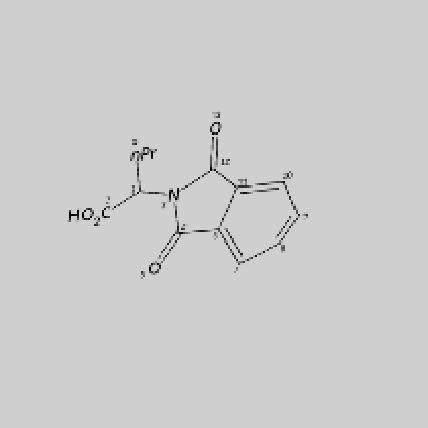 CCCC(C(=O)O)N1C(=O)c2ccccc2C1=O